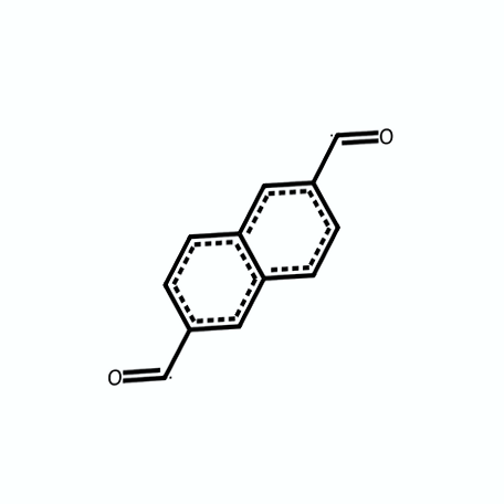 O=[C]c1ccc2cc([C]=O)ccc2c1